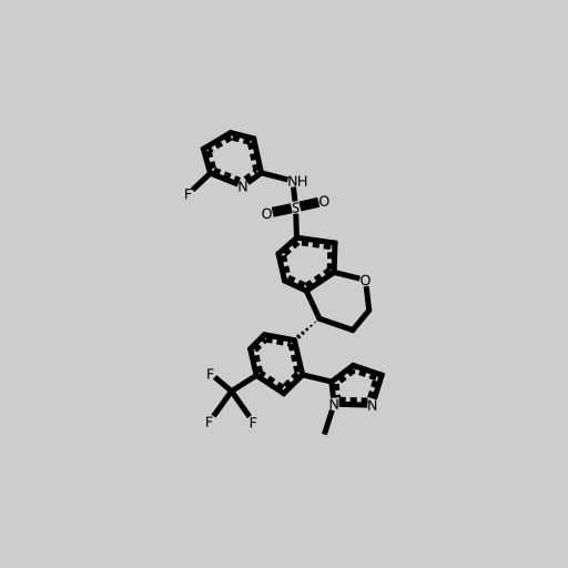 Cn1nccc1-c1cc(C(F)(F)F)ccc1[C@H]1CCOc2cc(S(=O)(=O)Nc3cccc(F)n3)ccc21